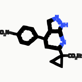 CCOC(=O)C1(c2cc(-c3ccc([N+](=O)[O-])cc3)c3cn[nH]c3n2)CC1